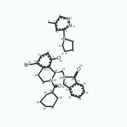 Cc1cnnc(N2CC[C@H](Oc3ccc(Br)c4c3[C@@H](CN3Cc5ccccc5C3=O)N(C(=O)C3CCCCC3)CC4)C2)c1